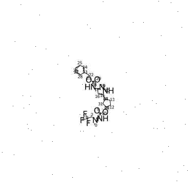 CN(CC(F)(F)F)NC(=O)O[C@@H]1CC[C@H](c2cc(NC(=O)OCc3ccccc3)n[nH]2)C1